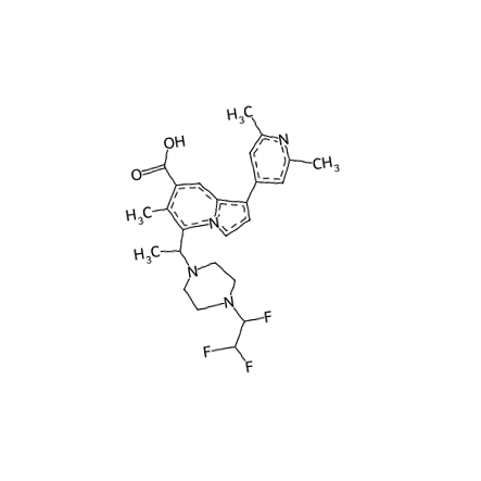 Cc1cc(-c2ccn3c(C(C)N4CCN(C(F)C(F)F)CC4)c(C)c(C(=O)O)cc23)cc(C)n1